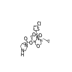 O=C(OC1([C@H]2COC[C@@H](CC3CC3)N2S(=O)(=O)c2ccc(Cl)s2)CC1)N1C2CCC1CNC2